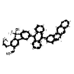 C=Cc1cc2c(cc1/C=C\C)C(C)(C)c1ccc(-c3c4ccccc4c(-c4ccc5oc6cc7ccccc7cc6c5c4)c4ccccc34)cc1-2